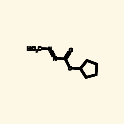 CCOC(=O)N=NC(=O)OC1CCCC1